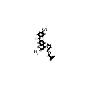 Cc1cc(N2CCCC2COCC2CC2)c2ccc(Nc3ccc(C#N)cc3)cc2n1